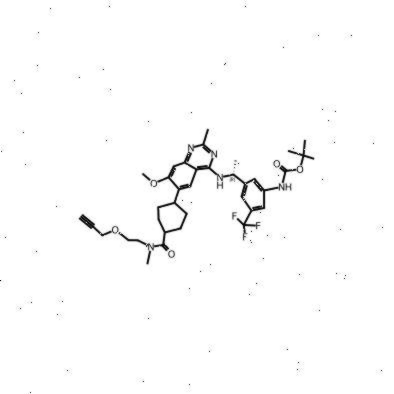 C#CCOCCN(C)C(=O)C1CCC(c2cc3c(N[C@H](C)c4cc(NC(=O)OC(C)(C)C)cc(C(F)(F)F)c4)nc(C)nc3cc2OC)CC1